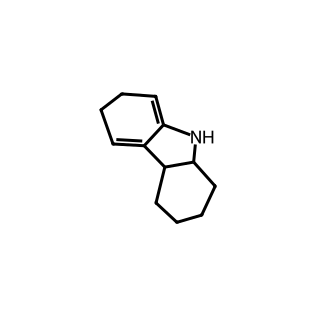 C1=C2NC3CCCCC3C2=CCC1